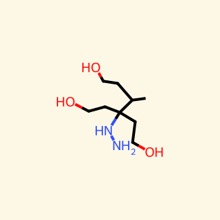 CC(CCO)C(CCO)(CCO)NN